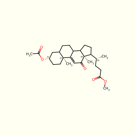 COC(=O)CC[C@@H](C)C1CCC2C3CCC4C[C@@H](OC(C)=O)CC[C@]4(C)C3=CC(=O)[C@@]21C